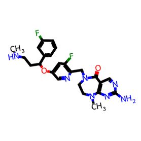 CNCCC(Oc1cnc(CN2CCN(C)c3nc(N)ncc3C2=O)c(F)c1)c1cccc(F)c1